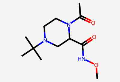 CONC(=O)C1CN(C(C)(C)C)CCN1C(C)=O